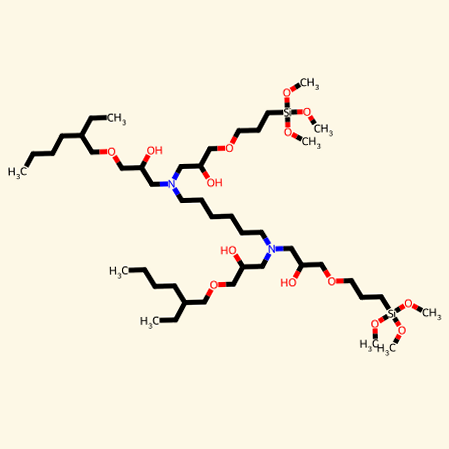 CCCCC(CC)COCC(O)CN(CCCCCCN(CC(O)COCCC[Si](OC)(OC)OC)CC(O)COCC(CC)CCCC)CC(O)COCCC[Si](OC)(OC)OC